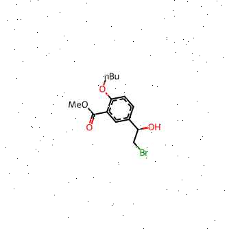 CCCCOc1ccc([C@@H](O)CBr)cc1C(=O)OC